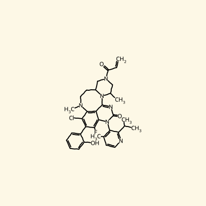 C=CC(=O)N1CC(C)N2c3nc(=O)n(-c4c(C)ccnc4C(C)C)c4c(F)c(-c5ccccc5O)c(Cl)c(c34)N(C)CCC2C1